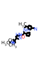 C[C@@H](CNCC(C(=O)Nc1ccc(-c2cnn(C(C)(C)C)c2)cn1)c1ccccc1)c1ccc(C#N)cc1